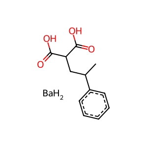 CC(CC(C(=O)O)C(=O)O)c1ccccc1.[BaH2]